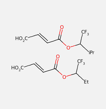 CC(C)C(OC(=O)/C=C/C(=O)O)C(F)(F)F.CCC(OC(=O)/C=C/C(=O)O)C(F)(F)F